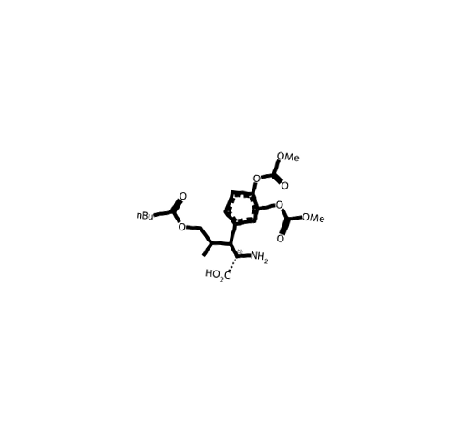 CCCCC(=O)OCC(C)C(c1ccc(OC(=O)OC)c(OC(=O)OC)c1)[C@H](N)C(=O)O